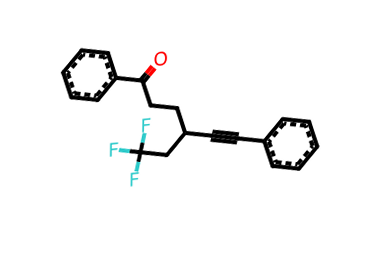 O=C(CCC(C#Cc1ccccc1)CC(F)(F)F)c1ccccc1